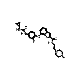 CN1CCN(CCNC(=O)c2cc3cccc(Oc4ccc(NC(=O)NC5CC5)cc4F)c3s2)CC1